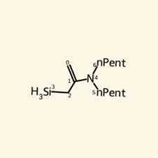 C=C(C[SiH3])N(CCCCC)CCCCC